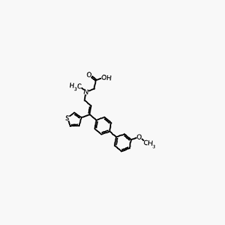 COc1cccc(-c2ccc(C(=CCN(C)CC(=O)O)c3ccsc3)cc2)c1